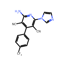 N#Cc1c(N)nc(-n2ccnc2)c(C#N)c1-c1ccc(C(F)(F)F)cc1